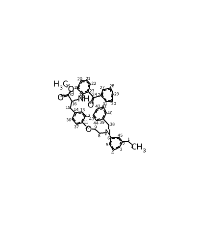 CCc1cccc(N(CCOc2ccc(CC(Nc3ccccc3C(=O)c3ccccc3)C(=O)OC)cc2)Cc2ccccc2)c1